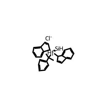 C[C](C)(c1ccccc1)[Hf](=[SiH2])([CH]1C=Cc2ccccc21)[CH]1C=Cc2ccccc21.[Cl-]